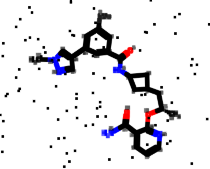 CSc1cc(C(=O)NC2CC(C[C@H](C)Oc3ncccc3C(N)=O)C2)cc(-c2cnn(C)c2)c1